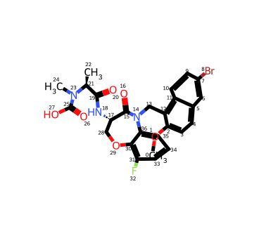 COc1ccc2cc(Br)ccc2c1CN1C(=O)[C@@H](NC(=O)[C@H](C)N(C)C(=O)O)COc2c(F)cccc21